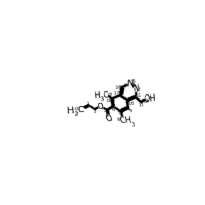 C=CCOC(=O)c1c(C)cc2c(CO)nncc2c1C